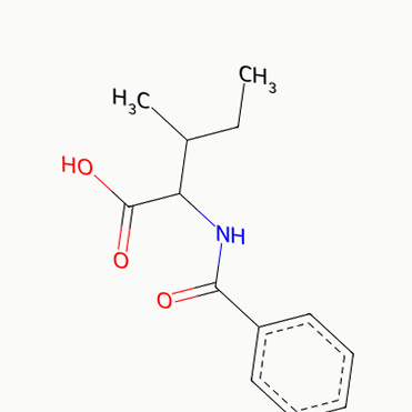 CCC(C)C(NC(=O)c1ccccc1)C(=O)O